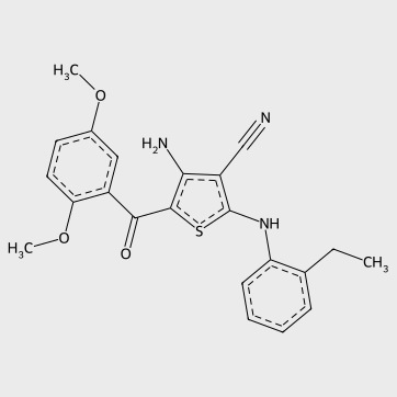 CCc1ccccc1Nc1sc(C(=O)c2cc(OC)ccc2OC)c(N)c1C#N